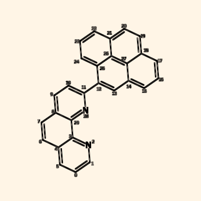 c1cnc2c(c1)ccc1ccc(-c3cc4cccc5ccc6cccc3c6c54)nc12